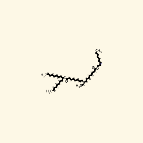 CCCCCC/C=C\COC(=O)CCCCCCCN(CC)CCCCCCCC(=O)OC(CCCCCCCC)CCCCCCCC